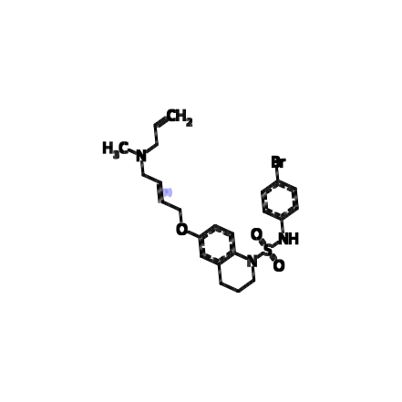 C=CCN(C)C/C=C/COc1ccc2c(c1)CCCN2S(=O)(=O)Nc1ccc(Br)cc1